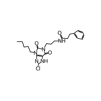 CCCCCn1c(=O)n(CCCNC(=O)CCc2ccccc2)c(=O)c2[nH]c(Cl)nc21